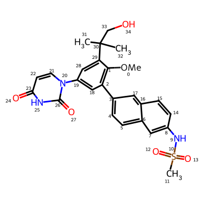 COc1c(-c2ccc3cc(NS(C)(=O)=O)ccc3c2)cc(-n2ccc(=O)[nH]c2=O)cc1C(C)(C)CO